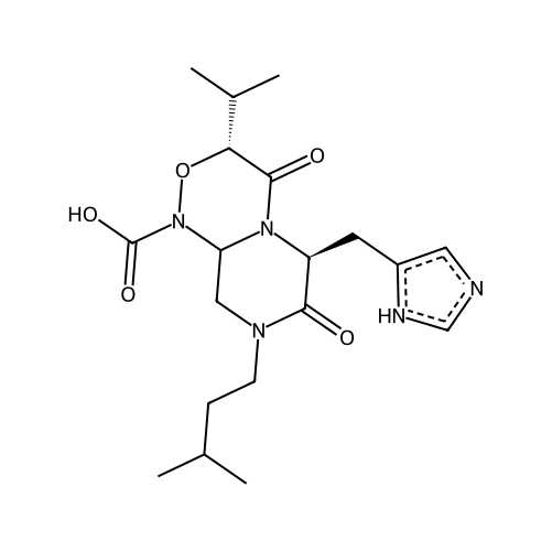 CC(C)CCN1CC2N(C(=O)O)O[C@H](C(C)C)C(=O)N2[C@@H](Cc2cnc[nH]2)C1=O